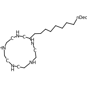 CCCCCCCCCCCCCCCCCCC1CNCCNCCNCCNCCN1